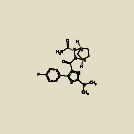 CN(C)c1nc(C(=O)N2[C@@H]3CC[C@@H](C3)[C@H]2C(N)=O)c(-c2ccc(F)cc2)s1